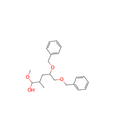 COC(O)C(C)CC(COCc1ccccc1)OCc1ccccc1